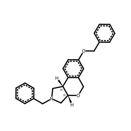 c1ccc(COc2ccc3c(c2)CO[C@@H]2CN(Cc4ccccc4)C[C@H]32)cc1